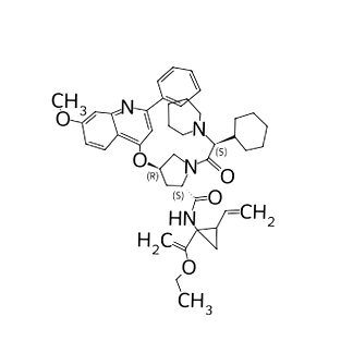 C=CC1CC1(NC(=O)[C@@H]1C[C@@H](Oc2cc(-c3ccccc3)nc3cc(OC)ccc23)CN1C(=O)[C@H](C1CCCCC1)N1CCCCC1)C(=C)OCC